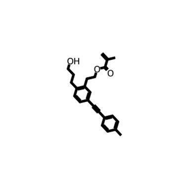 C=C(C)C(=O)OCCc1cc(C#Cc2ccc(C)cc2)ccc1CCCO